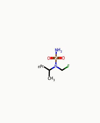 CCCC(C)N(CF)S(N)(=O)=O